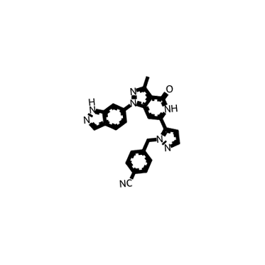 Cc1nn(-c2ccc3cn[nH]c3c2)c2cc(-c3ccnn3Cc3ccc(C#N)cc3)[nH]c(=O)c12